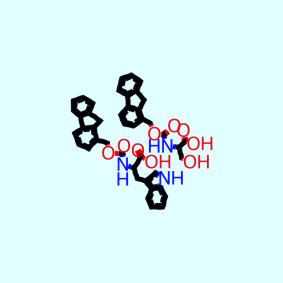 O=C(NC(CO)C(=O)O)OCc1cccc2c1Cc1ccccc1-2.O=C(NC(Cc1c[nH]c2ccccc12)C(=O)O)OCc1cccc2c1Cc1ccccc1-2